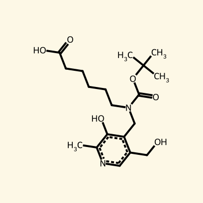 Cc1ncc(CO)c(CN(CCCCCC(=O)O)C(=O)OC(C)(C)C)c1O